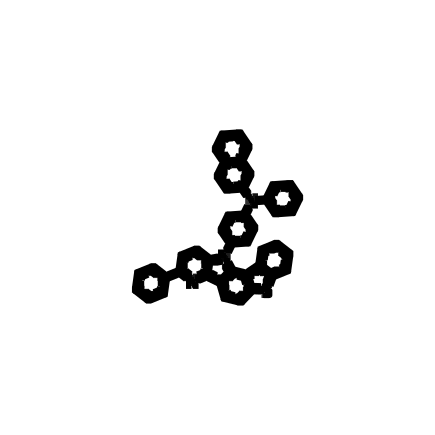 c1ccc(-c2ccc3c(n2)c2ccc4sc5ccccc5c4c2n3-c2ccc(N(c3ccccc3)c3ccc4ccccc4c3)cc2)cc1